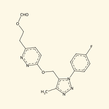 Cc1nnn(-c2ccc(F)cc2)c1COc1ccc(CCOC=O)nn1